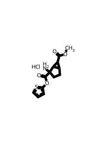 COC(=O)C1C2CCC(N)(C(=O)Oc3cccs3)C21.Cl